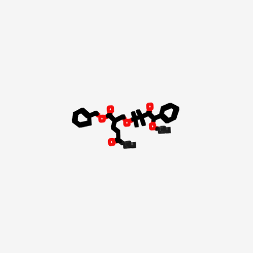 CC(C)(C)OC(C(=O)C(C)(C)C(C)(C)OCC(CCC(=O)C(C)(C)C)C(=O)OCc1ccccc1)c1ccccc1